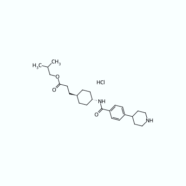 CC(C)COC(=O)CC[C@H]1CC[C@H](NC(=O)c2ccc(C3CCNCC3)cc2)CC1.Cl